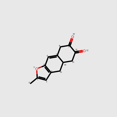 Cc1cc2c(o1)C=C1CC(=O)C(=O)CC1C2